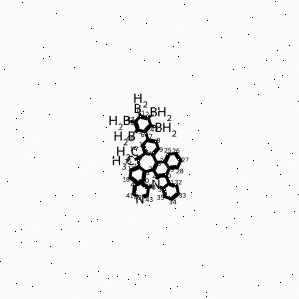 Bc1c(B)c(B)c(-c2ccc3c(c2)C(C)(C)c2ccccc2-c2c-3c3ccccc3c3c4ccccc4n(-c4cccnc4)c23)c(B)c1B